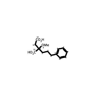 COC(CCCc1ccccc1)(CC(=O)O)C(=O)O